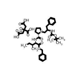 CC[C@H](C)[C@H](NC(=O)[C@@H]1CCCN1CC(Cc1ccccc1)NC(=O)OC(C)(C)C)C(=O)OCc1ccccc1.O=C(O)CC(O)(CC(=O)O)C(=O)O